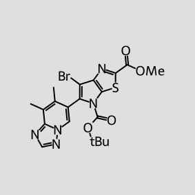 COC(=O)c1nc2c(Br)c(-c3cn4ncnc4c(C)c3C)n(C(=O)OC(C)(C)C)c2s1